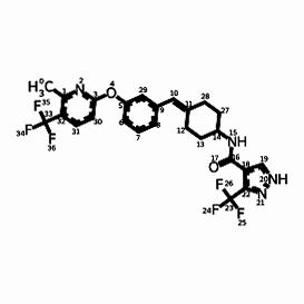 Cc1nc(Oc2cccc(C=C3CCC(NC(=O)c4c[nH]nc4C(F)(F)F)CC3)c2)ccc1C(F)(F)F